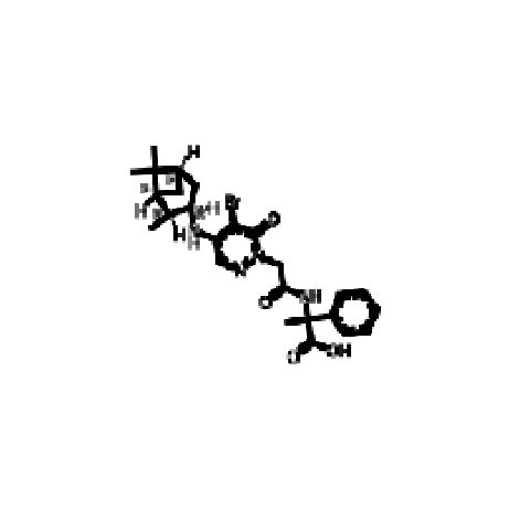 C[C@H]1[C@H]2C[C@H](C[C@H]1Nc1cnn(CC(=O)NC(C)(C(=O)O)c3ccccc3)c(=O)c1Br)C2(C)C